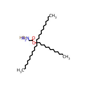 Br.CCCCCCCCCCCCC(CCCCCCCCCCCC)(CCCCCCCCCCCC)OC(=O)CN